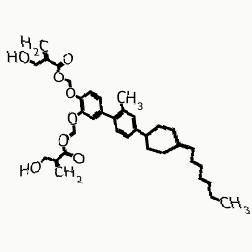 C=C(CO)C(=O)OCOc1ccc(-c2ccc(C3CCC(CCCCCCC)CC3)cc2C)cc1OCOC(=O)C(=C)CO